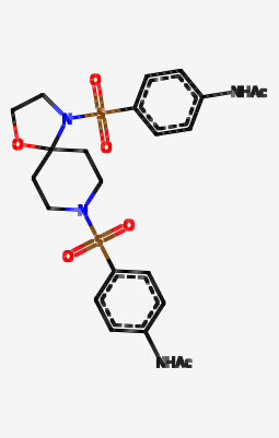 CC(=O)Nc1ccc(S(=O)(=O)N2CCC3(CC2)OCCN3S(=O)(=O)c2ccc(NC(C)=O)cc2)cc1